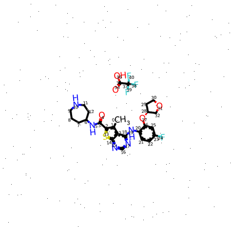 Cc1c(C(=O)NC2CCCNCC2)sc2ncnc(Nc3ccc(F)cc3O[C@H]3CCOC3)c12.O=C(O)C(F)(F)F